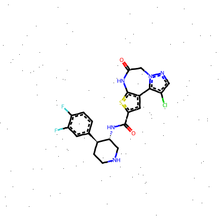 O=C1Cn2ncc(Cl)c2-c2cc(C(=O)N[C@@H]3CNCC[C@H]3c3ccc(F)c(F)c3)sc2N1